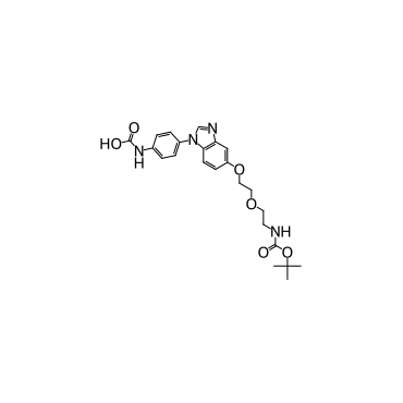 CC(C)(C)OC(=O)NCCOCCOc1ccc2c(c1)ncn2-c1ccc(NC(=O)O)cc1